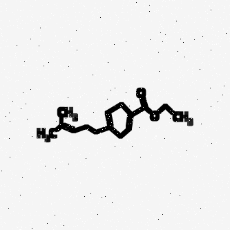 CCOC(=O)C1=CCC(CCC=C(C)C)=CC1